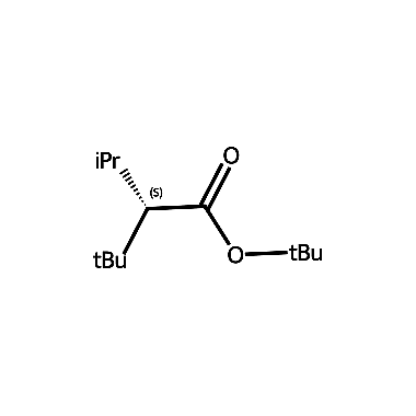 CC(C)[C@H](C(=O)OC(C)(C)C)C(C)(C)C